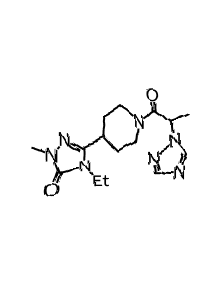 CCn1c(C2CCN(C(=O)C(C)n3cncn3)CC2)nn(C)c1=O